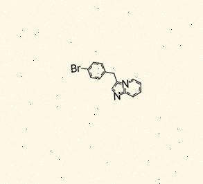 Brc1ccc(Cc2cnc3ccccn23)cc1